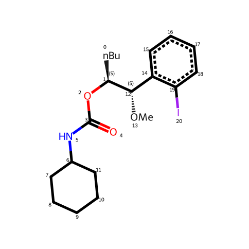 CCCC[C@H](OC(=O)NC1CCCCC1)[C@@H](OC)c1ccccc1I